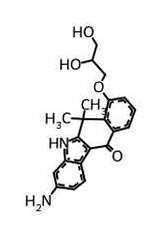 CC1(C)c2[nH]c3cc(N)ccc3c2C(=O)c2cccc(OCC(O)CO)c21